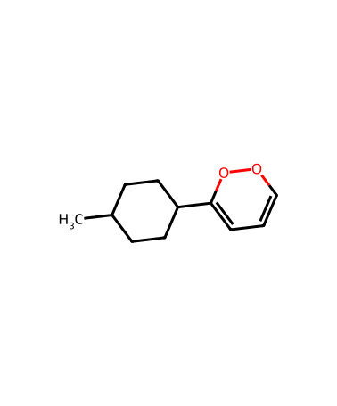 CC1CCC(C2=CC=COO2)CC1